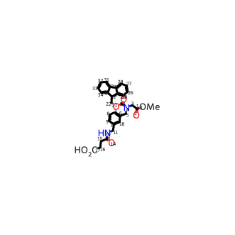 COC(=O)CN(Cc1cccc(CNC(=O)CCC(=O)O)c1)C(=O)OCC1c2ccccc2-c2ccccc21